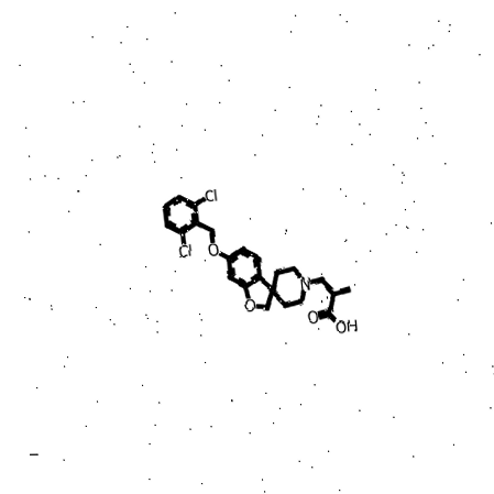 CC(CN1CCC2(CC1)COc1cc(OCc3c(Cl)cccc3Cl)ccc12)C(=O)O